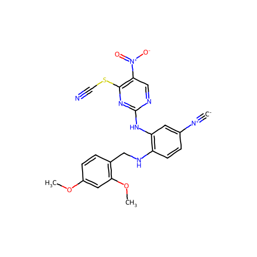 [C-]#[N+]c1ccc(NCc2ccc(OC)cc2OC)c(Nc2ncc([N+](=O)[O-])c(SC#N)n2)c1